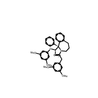 COc1cc(CC(=O)N2CCCc3ccccc3[C@@]2(c2ccccc2)[C@H](Oc2cc(OC)cc(OC)c2)C(=O)O)cc(OC)c1